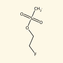 [CH2]S(=O)(=O)OCCF